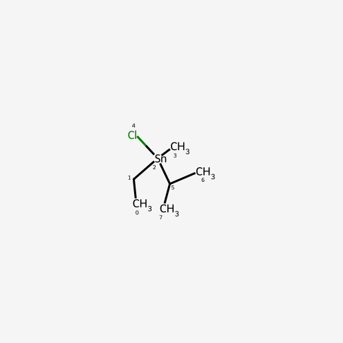 C[CH2][Sn]([CH3])([Cl])[CH](C)C